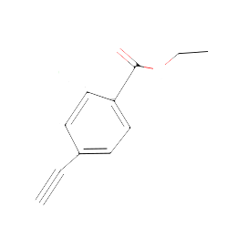 C#Cc1ccc(C(=O)OCC)cc1.Cl